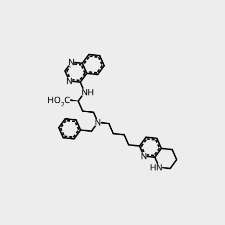 O=C(O)[C@H](CCN(CCCCc1ccc2c(n1)NCCC2)Cc1ccccc1)Nc1ncnc2ccccc12